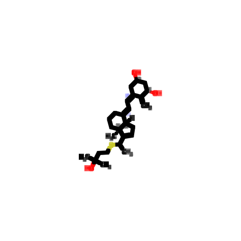 C=C1/C(=C\C=C2/CCC[C@]3(C)C(C(C)SCCC(C)(C)O)=CC[C@@H]23)C[C@@H](O)C[C@@H]1O